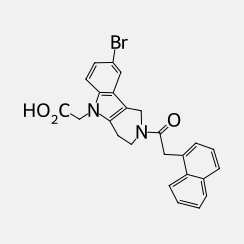 O=C(O)Cn1c2c(c3cc(Br)ccc31)CN(C(=O)Cc1cccc3ccccc13)CC2